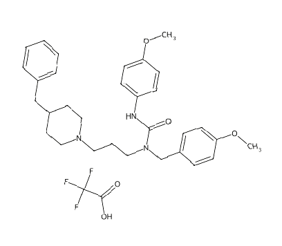 COc1ccc(CN(CCCN2CCC(Cc3ccccc3)CC2)C(=O)Nc2ccc(OC)cc2)cc1.O=C(O)C(F)(F)F